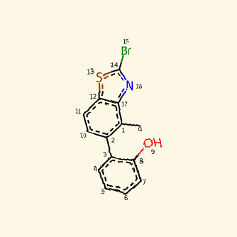 Cc1c(-c2ccccc2O)ccc2sc(Br)nc12